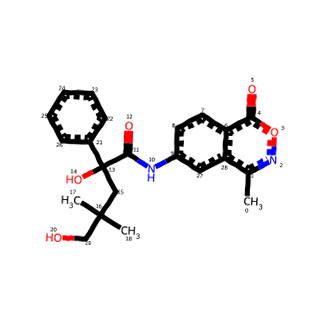 Cc1noc(=O)c2ccc(NC(=O)C(O)(CC(C)(C)CO)c3ccccc3)cc12